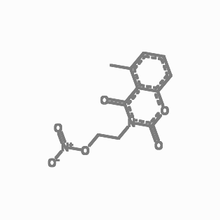 Cc1cccc2oc(=O)n(CCO[N+](=O)[O-])c(=O)c12